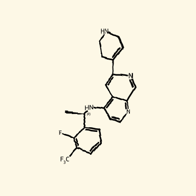 C[C@@H](Nc1ccnc2cnc(C3=CCNCC3)cc12)c1cccc(C(F)(F)F)c1F